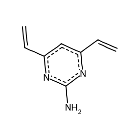 C=Cc1cc(C=C)nc(N)n1